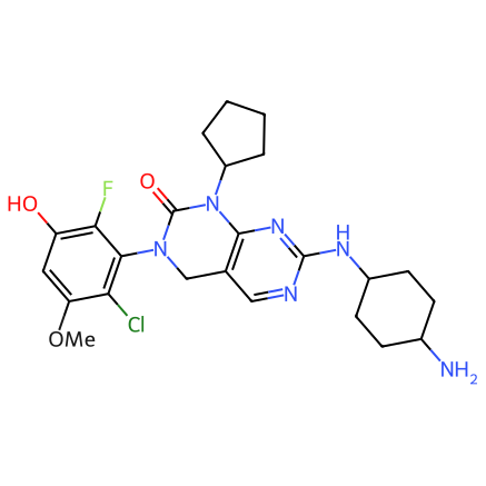 COc1cc(O)c(F)c(N2Cc3cnc(NC4CCC(N)CC4)nc3N(C3CCCC3)C2=O)c1Cl